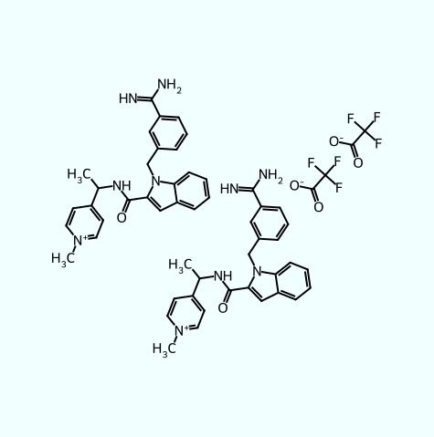 CC(NC(=O)c1cc2ccccc2n1Cc1cccc(C(=N)N)c1)c1cc[n+](C)cc1.CC(NC(=O)c1cc2ccccc2n1Cc1cccc(C(=N)N)c1)c1cc[n+](C)cc1.O=C([O-])C(F)(F)F.O=C([O-])C(F)(F)F